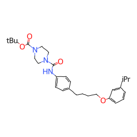 CC(C)c1cccc(OCCCCc2ccc(NC(=O)N3CCN(C(=O)OC(C)(C)C)CC3)cc2)c1